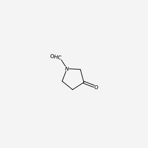 O=CN1CCC(=O)C1